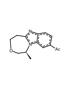 CC(=O)c1ccc2nc3n(c2c1)[C@@H](C)COCC3